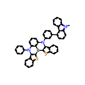 Cn1c2ccccc2c2c(-c3cccc(N4c5cccc6c5B(c5sc7ccccc7c5N6c5ccccc5)c5sc6ccccc6c54)c3)cccc21